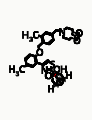 Cc1ccc(OCc2ccc(CN3CCS(=O)(=O)CC3)cc2C)c(-c2csc(N3C[C@@H]4C5[C@H](C3)[C@]54C(=O)O)n2)c1